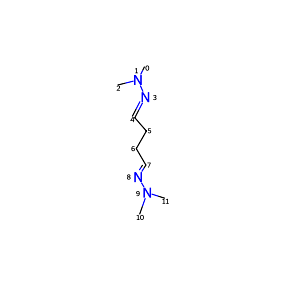 CN(C)N=CCCC=NN(C)C